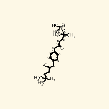 CC(C)(C)CCC(=O)Cc1ccc(CC(=O)CCC(C)(C)OP(=O)(O)O)cc1